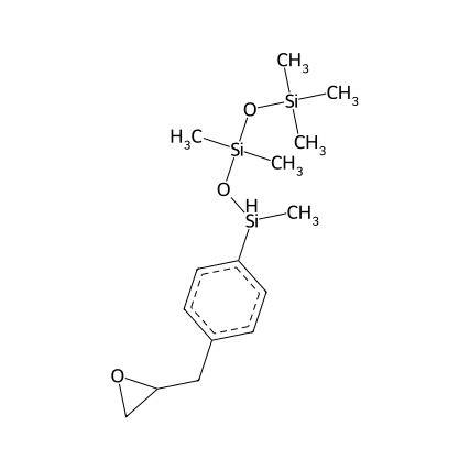 C[SiH](O[Si](C)(C)O[Si](C)(C)C)c1ccc(CC2CO2)cc1